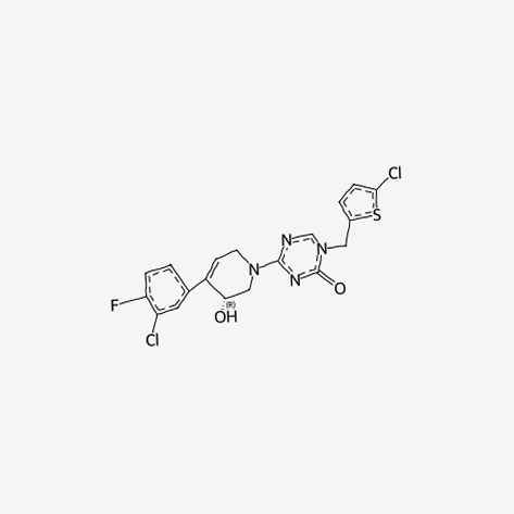 O=c1nc(N2CC=C(c3ccc(F)c(Cl)c3)[C@@H](O)C2)ncn1Cc1ccc(Cl)s1